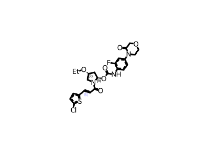 CCO[C@@H]1C[C@@H](OC(=O)Nc2ccc(N3CCOCC3=O)cc2F)N(C(=O)/C=C/c2ccc(Cl)s2)C1